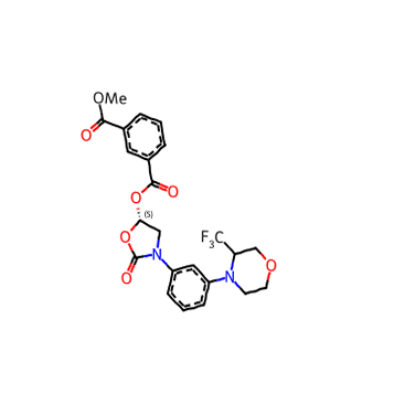 COC(=O)c1cccc(C(=O)O[C@@H]2CN(c3cccc(N4CCOCC4C(F)(F)F)c3)C(=O)O2)c1